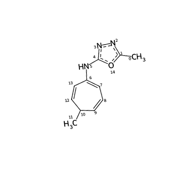 Cc1nnc(NC2=CC=CC(C)C=C2)o1